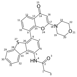 CCC(=O)Nc1ccc(-c2cccc3c(=O)cc(N4CCOCC4)oc23)c2sc3ccccc3c12